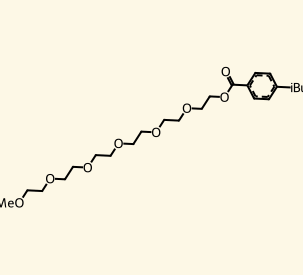 CCC(C)c1ccc(C(=O)OCCOCCOCCOCCOCCOCCOC)cc1